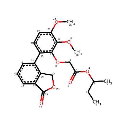 CCC(C)OC(=O)COc1c(-c2cccc3c2COC3=O)ccc(OC)c1OC